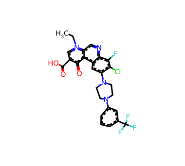 CCn1cc(C(=O)O)c(=O)c2c3cc(N4CCN(c5cccc(C(F)(F)F)c5)CC4)c(Cl)c(F)c3ncc21